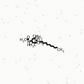 CCCCCCCCCCCON1C(C)(C)CC(NC(C)=O)CC1(C)C